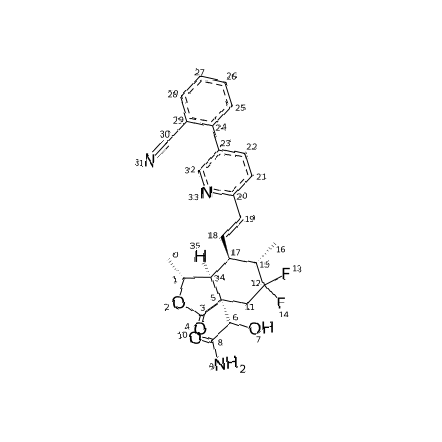 C[C@H]1OC(=O)[C@]2(C(O)C(N)=O)CC(F)(F)[C@@H](C)[C@H](C=Cc3ccc(-c4ccccc4C#N)cn3)[C@H]12